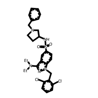 CCN(CC)c1nn(Cc2c(Cl)cccc2Cl)c2ccc(S(=O)(=O)NC3CCN(Cc4ccccc4)C3)cc12